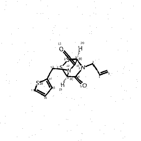 C=CCN1C(=O)[C@H]2SS[C@@H]1C(=O)N2Cc1cccs1